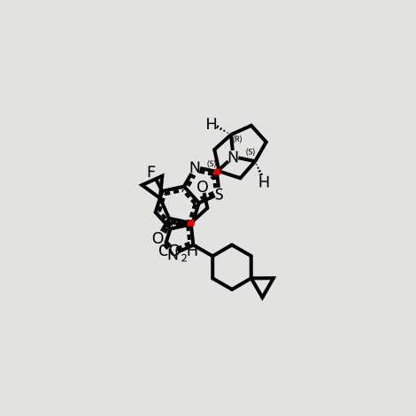 O=C(O)c1cc(F)c2nc(N3[C@@H]4CC[C@H]3C[C@H](OCc3c(C5CCC6(CC5)CC6)noc3C3CC3)C4)sc2c1